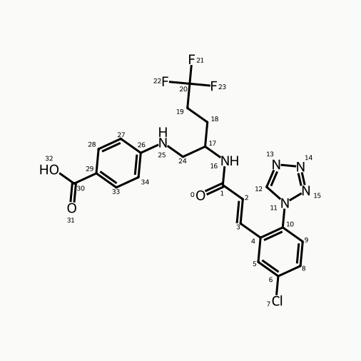 O=C(/C=C/c1cc(Cl)ccc1-n1cnnn1)NC(CCC(F)(F)F)CNc1ccc(C(=O)O)cc1